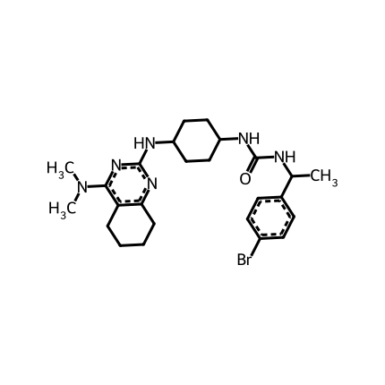 CC(NC(=O)NC1CCC(Nc2nc3c(c(N(C)C)n2)CCCC3)CC1)c1ccc(Br)cc1